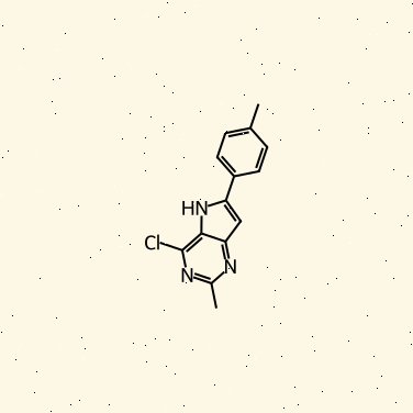 Cc1ccc(-c2cc3nc(C)nc(Cl)c3[nH]2)cc1